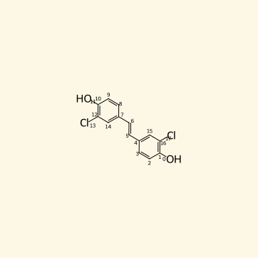 Oc1ccc(/C=C/c2ccc(O)c(Cl)c2)cc1Cl